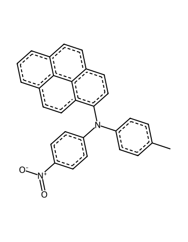 Cc1ccc(N(c2ccc([N+](=O)[O-])cc2)c2ccc3ccc4cccc5ccc2c3c45)cc1